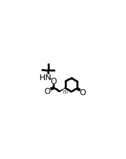 CC(C)(C)NOC(=O)C[C@H]1CCCC(=O)C1